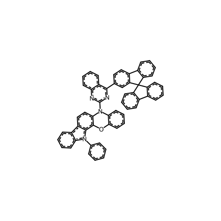 c1ccc(-n2c3ccccc3c3ccc4c(c32)Oc2ccccc2N4c2nc(-c3ccc4c(c3)C3(c5ccccc5-c5ccccc53)c3ccccc3-4)c3ccccc3n2)cc1